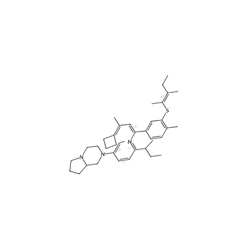 C\C=C(/C=C\C(=N\C(=C/C(C)=C1CCC1)c1ccc(C)c(S/C(C)=C(\C)CC)c1)C(C)CC)N1CCN2CCCC2C1